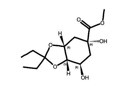 CCC1(CC)O[C@H]2[C@H](O)C[C@](O)(C(=O)OC)C[C@H]2O1